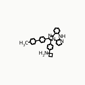 Cc1ccc(-c2ccc(-c3nc4n(c3-c3ccc(C5(N)CCC5)cc3)-c3cccnc3Nc3ccccc3-4)cc2)cc1